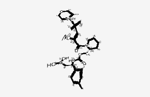 Cc1ccc([C@@H](CB(O)O)NC(=O)OC[C@H]2CCCCN2C(=O)C(C#N)=CC(C)(C)N2CCOCC2)cc1